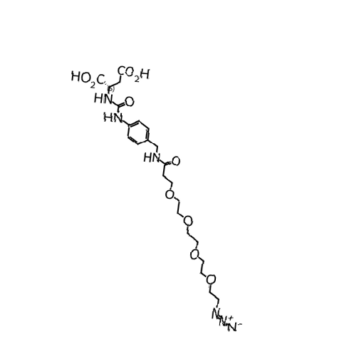 [N-]=[N+]=NCCOCCOCCOCCOCCC(=O)NCc1ccc(NC(=O)N[C@@H](CC(=O)O)C(=O)O)cc1